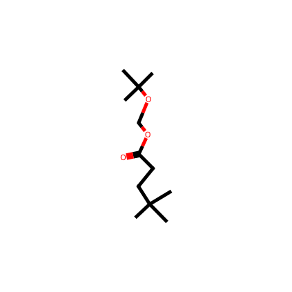 CC(C)(C)CCC(=O)OCOC(C)(C)C